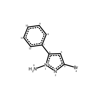 Nn1nc(Br)cc1-c1ccccc1